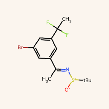 CC(=N[S+]([O-])C(C)(C)C)c1cc(Br)cc(C(C)(F)F)c1